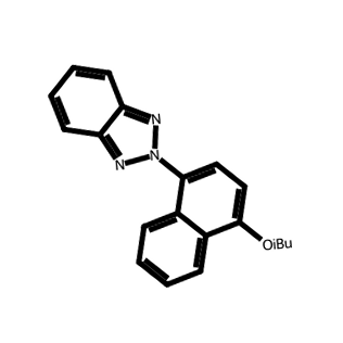 CC(C)COc1ccc(-n2nc3ccccc3n2)c2ccccc12